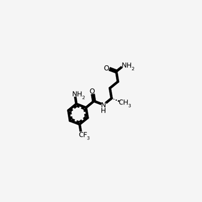 C[C@@H](CCC(N)=O)NC(=O)c1cc(C(F)(F)F)ccc1N